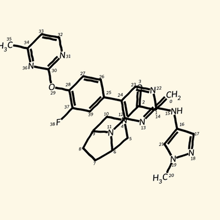 C=CC(=O)N1CC2CCC(C1)N2c1nc(Nc2cnn(C)c2)ncc1-c1ccc(Oc2nccc(C)n2)c(F)c1